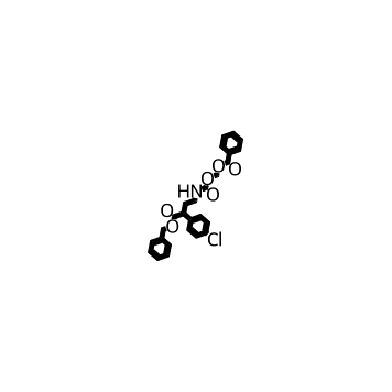 O=C(NCCC(C(=O)OCc1ccccc1)c1ccc(Cl)cc1)OCOC(=O)c1ccccc1